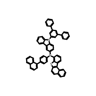 c1ccc(-c2cc(-c3ccccc3)cc(-n3c4ccccc4c4cc(N(c5ccc(-c6cccc7ccccc67)cc5)c5cccc6c5sc5ccc7ccccc7c56)ccc43)c2)cc1